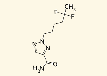 CC(F)(F)CCCCn1ncc(C(N)=O)n1